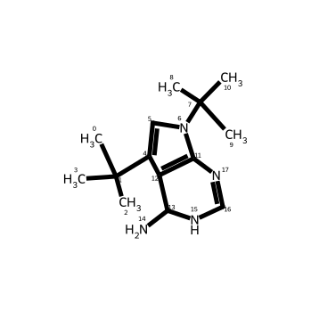 CC(C)(C)c1cn(C(C)(C)C)c2c1C(N)NC=N2